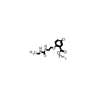 CCNC(=O)NCCOc1ccc(Cl)cc1C(=O)OC